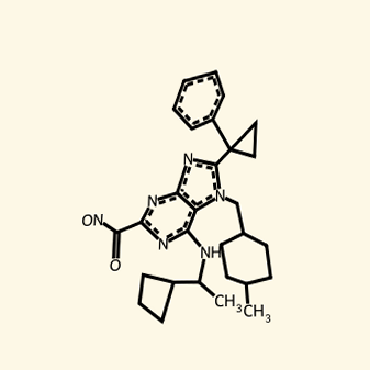 CC1CCC(Cn2c(C3(c4ccccc4)CC3)nc3nc(C(=O)N=O)nc(NC(C)C4CCC4)c32)CC1